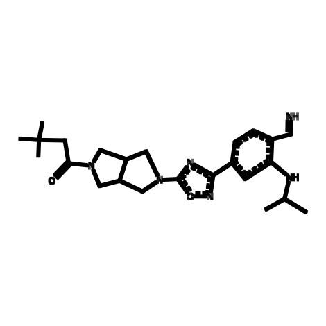 CC(C)Nc1cc(-c2noc(N3CC4CN(C(=O)CC(C)(C)C)CC4C3)n2)ccc1C=N